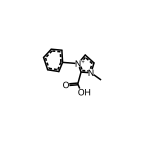 Cn1cc[n+](-c2ccccc2)c1C(=O)O